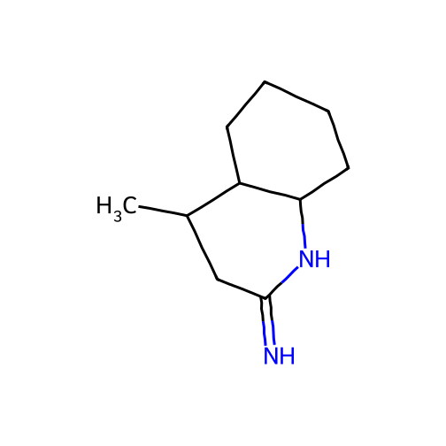 CC1CC(=N)NC2CCCCC12